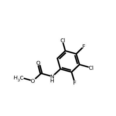 COC(=O)Nc1cc(Cl)c(F)c(Cl)c1F